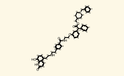 O=C(NCCOc1cccc(C(C(=O)OCC2CCN(Cc3ccccc3)CC2)c2ccccc2)c1)c1ccc(CCNCCc2ccc(O)c3[nH]c(=O)ccc23)cc1